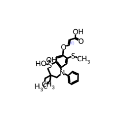 CCC1(CC)CN(c2ccccc2)c2cc(SC)c(O/C=C/C(=O)O)cc2S(O)(O)C1